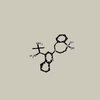 CC(C)(N)C(N)c1cc(N2CCS(O)(O)c3ccccc3C2)nc2ccccc12